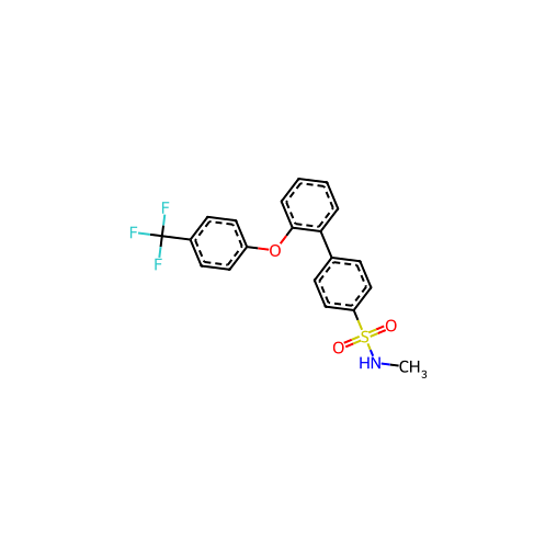 CNS(=O)(=O)c1ccc(-c2ccccc2Oc2ccc(C(F)(F)F)cc2)cc1